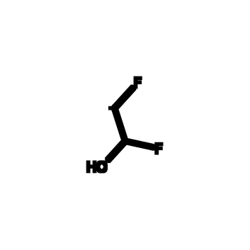 OC(F)[CH]F